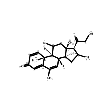 CC1=C[C@H]2[C@@H]3CC(C)[C@H](C(=O)CO)[C@@]3(C)CC(O)[C@@H]2[C@@]2(C)C=CC(=O)C=C12